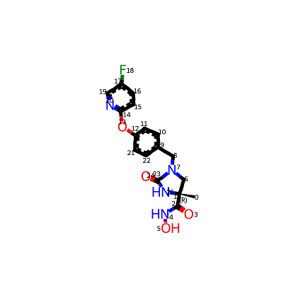 C[C@]1(C(=O)NO)CN(Cc2ccc(Oc3ccc(F)cn3)cc2)C(=O)N1